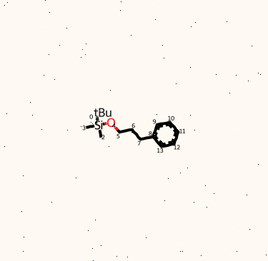 CC(C)(C)[Si](C)(C)OC[CH]Cc1ccccc1